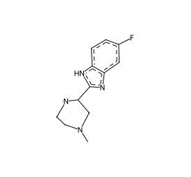 CN1CC[N]C(c2nc3cc(F)ccc3[nH]2)C1